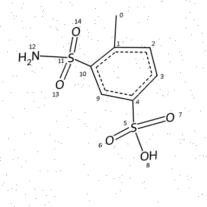 Cc1ccc(S(=O)(=O)O)cc1S(N)(=O)=O